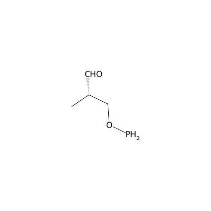 C[C@H](C=O)COP